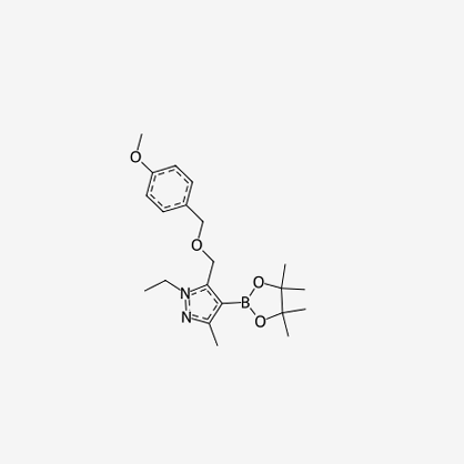 CCn1nc(C)c(B2OC(C)(C)C(C)(C)O2)c1COCc1ccc(OC)cc1